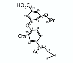 CC(=O)N(CC1CC1)c1ccc(Oc2cc(OC(C)C)cc(C(=O)O)c2)c(Cl)c1